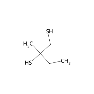 CCC(C)(S)CS